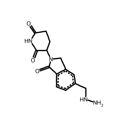 NNCc1ccc2c(c1)CN(C1CCC(=O)NC1=O)C2=O